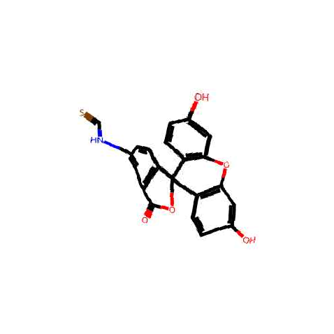 O=C1OC2(c3ccc(O)cc3Oc3cc(O)ccc32)c2ccc(NC=S)cc21